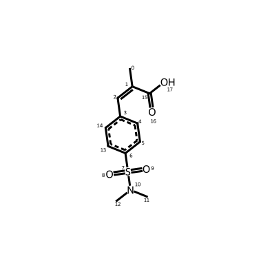 CC(=Cc1ccc(S(=O)(=O)N(C)C)cc1)C(=O)O